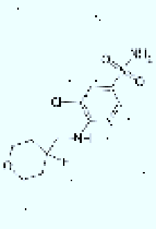 NS(=O)(=O)c1cnc(NCC2(F)CCOCC2)c(Cl)c1